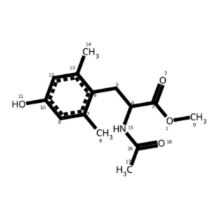 COC(=O)C(Cc1c(C)cc(O)cc1C)NC(C)=O